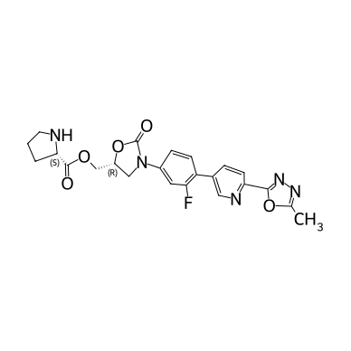 Cc1nnc(-c2ccc(-c3ccc(N4C[C@H](COC(=O)[C@@H]5CCCN5)OC4=O)cc3F)cn2)o1